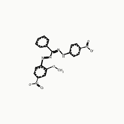 COc1cc([N+](=O)[O-])ccc1/N=N/C(=N\Nc1ccc([N+](=O)[O-])cc1)c1ccccc1